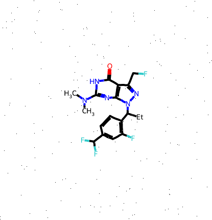 CCC(c1ccc(C(F)F)cc1F)n1nc(CF)c2c(=O)[nH]c(N(C)C)nc21